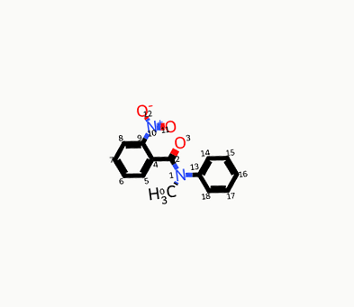 CN(C(=O)c1ccccc1[N+](=O)[O-])c1ccccc1